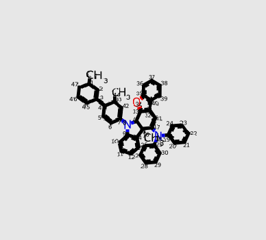 CC1C=C(C2C=CC(N3c4ccccc4[C@]4(C)C(N(c5ccccc5)c5ccccc5)=Cc5c(oc6ccccc56)C34)=CC2C)C=CC1